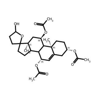 CC(=O)O[C@H]1CC[C@@]2(C)C(=C[C@H](OC(C)=O)C3C2[C@H](OC(C)=O)C[C@@]2(C)C3CCC23CCC(O)O3)C1